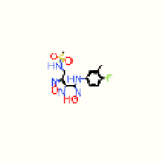 Cc1cc(N/C(=N/O)c2nonc2CNS(C)(=O)=O)ccc1F